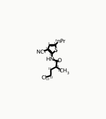 CCCc1cc(C#N)c(NC(=O)C(C)CCCl)s1